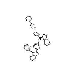 C1=CCC(c2ccc(-c3ccc4c(c3)c3ccc5ccccc5c3n4-c3ccc4c(c3)-c3ccccc3C3C4=Nc4ccccc43)cc2)C=C1